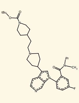 CC(C)N(C)C(=O)c1cc(F)ccc1-n1cc(C2CCN(CCC3CCN(C(=O)OC(C)(C)C)CC3)CC2)c2ccncc21